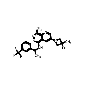 Cc1nnc(NC(C)c2cccc(C(F)(F)F)c2)c2cc(N3CC(C)(O)C3)cnc12